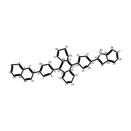 c1ccc2cc(-c3ccc(-c4c5ccccc5c(-c5ccc(-c6cc7ccccc7s6)cc5)c5ccccc45)cc3)ccc2c1